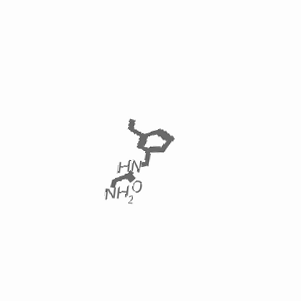 CCc1cccc(CNC(=O)CN)c1